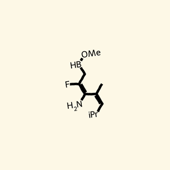 COBC/C(F)=C(N)\C(C)=C/C(C)C